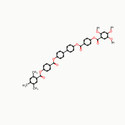 Cc1cc(C)c(C(=O)Oc2ccc(C(=O)Oc3ccc(-c4ccc(OC(=O)c5ccc(OC(=O)c6cc(OC(C)C)c(OC(C)C)cc6OC(C)C)cc5)cc4)cc3)cc2)cc1C